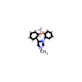 C[n+]1cc2n(c1)-c1ccccc1Oc1ccccc1-2.[I-]